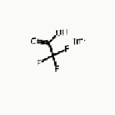 O=C(O)C(F)(F)F.[Tm]